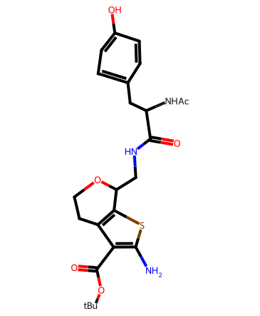 CC(=O)NC(Cc1ccc(O)cc1)C(=O)NCC1OCCc2c1sc(N)c2C(=O)OC(C)(C)C